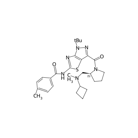 Cc1ccc(C(=O)Nc2nc3c(s2)c(C(=O)N2CCC[C@H]2CN(C)C2CCC2)nn3C(C)(C)C)cc1